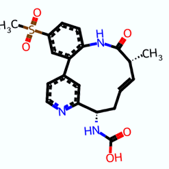 C[C@@H]1/C=C/C[C@H](NC(=O)O)c2cc(ccn2)-c2cc(S(C)(=O)=O)ccc2NC1=O